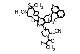 C=C(F)C(=O)N1CCN(c2nc(OCCN(C)C3S[C@@]3(C)C3CCC3)nc3c2CCN(c2cncc4cccc(C)c24)C3)C[C@@H]1CC#N